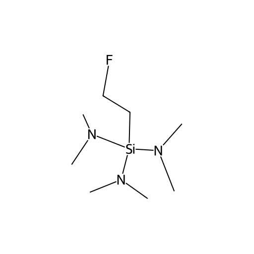 CN(C)[Si](CCF)(N(C)C)N(C)C